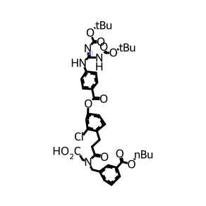 CCCCOC(=O)c1cccc(CN(CC(=O)O)C(=O)CCc2ccc(OC(=O)c3ccc(N/C(=N/C(=O)OC(C)(C)C)NC(=O)OC(C)(C)C)cc3)cc2Cl)c1